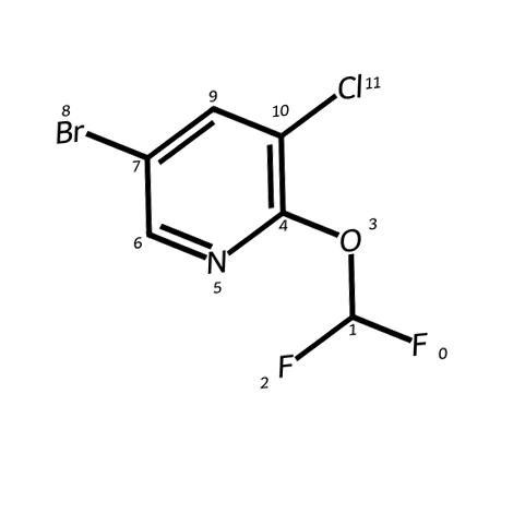 FC(F)Oc1ncc(Br)cc1Cl